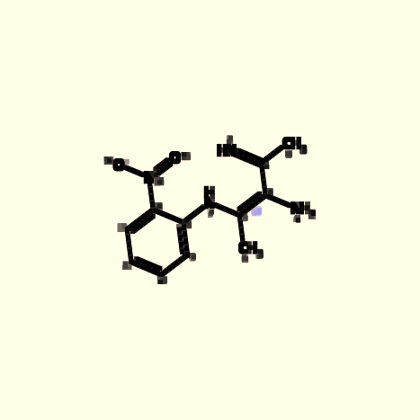 CC(=N)/C(N)=C(/C)Nc1ccccc1[N+](=O)[O-]